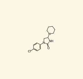 O=C1NC(N2CCCCC2)CN1c1ccc(Cl)cc1